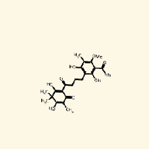 CCCC(=O)c1c(O)c(CCCC(=O)C2=C(O)C(C)(C)C(O)=C(C)C2=O)c(O)c(C)c1OC